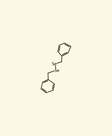 c1ccc(C[Se][Se]Cc2ccccc2)cc1